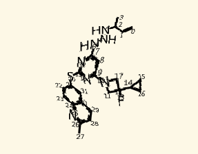 C=CC(C)NNNc1cc(N2CC(F)(C3CC3)C2)nc(Sc2ccc3nc(C)ccc3c2)n1